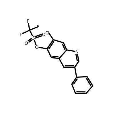 O=S(=O)(Oc1cc2cc(-c3ccccc3)cnc2cc1Cl)C(F)(F)F